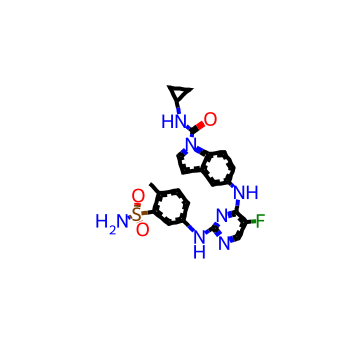 Cc1ccc(Nc2ncc(F)c(Nc3ccc4c(ccn4C(=O)NC4CC4)c3)n2)cc1S(N)(=O)=O